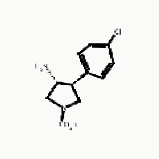 N[C@H]1CN(C(=O)O)C[C@@H]1c1ccc(Cl)cc1